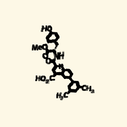 COC(=O)[C@H](Cc1ccc(O)cc1)NC(=O)c1cc(C(=O)O)c2cc(-c3cc(C)cc(C)c3)ccc2n1